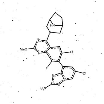 COc1nc(N2CC3CCC(C2)N3)c2cc(Cl)c(-c3cc(Cl)cc4sc(N)nc34)c(F)c2n1